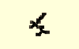 CC[N+](CC)(CC)CC.F.F.F.F.OB(O)O